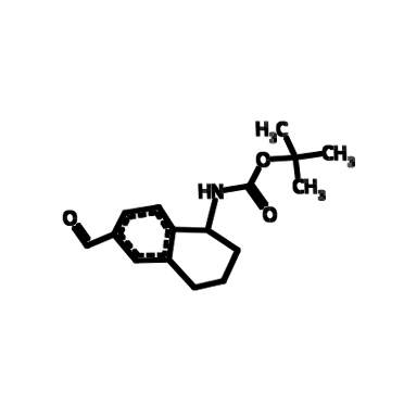 CC(C)(C)OC(=O)NC1CCCc2cc(C=O)ccc21